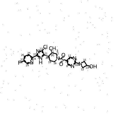 C[C@H]1CN(S(=O)(=O)c2cnc(N3CC(O)C3)nc2)CC[C@H]1c1[nH]c(-c2ccc(F)cn2)nc1Cl